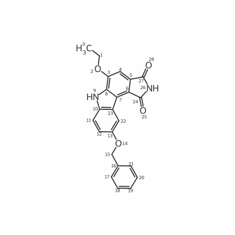 CCOc1cc2c(c3c1[nH]c1ccc(OCc4ccccc4)cc13)C(=O)NC2=O